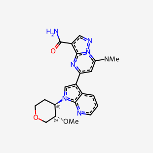 CNc1cc(-c2cn([C@@H]3CCOC[C@H]3OC)c3ncccc23)nc2c(C(N)=O)cnn12